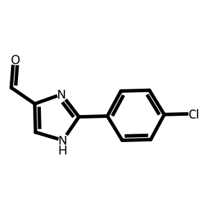 O=Cc1c[nH]c(-c2ccc(Cl)cc2)n1